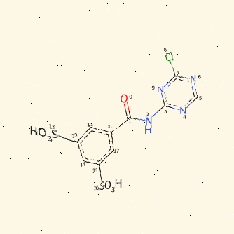 O=C(Nc1ncnc(Cl)n1)c1cc(S(=O)(=O)O)cc(S(=O)(=O)O)c1